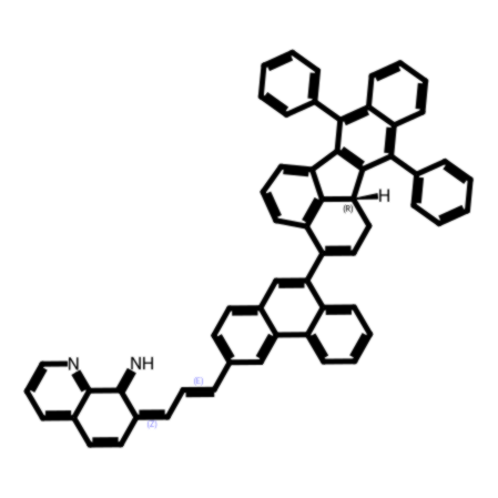 N=C1/C(=C\C=C\c2ccc3cc(C4=CC[C@@H]5c6c4cccc6-c4c5c(-c5ccccc5)c5ccccc5c4-c4ccccc4)c4ccccc4c3c2)C=Cc2cccnc21